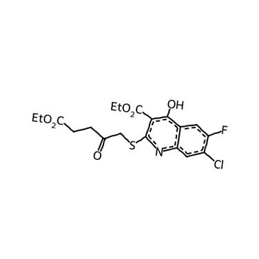 CCOC(=O)CCC(=O)CSc1nc2cc(Cl)c(F)cc2c(O)c1C(=O)OCC